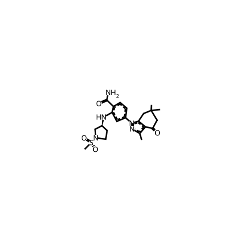 Cc1nn(-c2ccc(C(N)=O)c(N[C@H]3CCN(S(C)(=O)=O)C3)c2)c2c1C(=O)CC(C)(C)C2